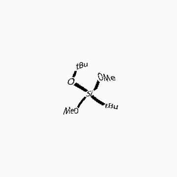 CO[Si](OC)(OC(C)(C)C)C(C)(C)C